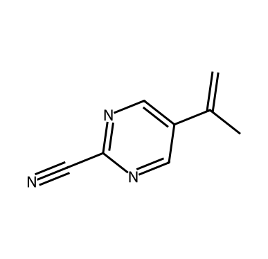 C=C(C)c1cnc(C#N)nc1